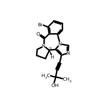 CC(C)(O)C#Cc1ncn2c1[C@@H]1CCCN1C(=O)c1c(Br)cccc1-2